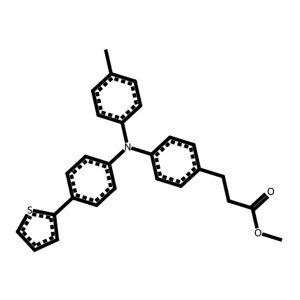 COC(=O)CCc1ccc(N(c2ccc(C)cc2)c2ccc(-c3cccs3)cc2)cc1